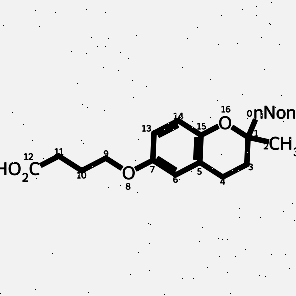 CCCCCCCCCC1(C)CCc2cc(OCCCC(=O)O)ccc2O1